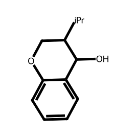 CC(C)C1COc2ccccc2C1O